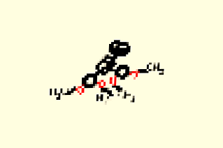 C=CCOc1ccc(C23CC4CC(c5ccc(OCC=C)cc5OCC=C)(C2)CC(C25CC6CC(CC(C6)C2)C5)(C4)C3)c(OCC=C)c1